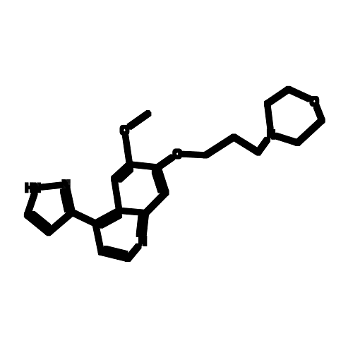 COc1cc2c(-c3cc[nH]n3)ccnc2cc1OCCCN1CCOCC1